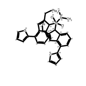 CC(C)CC1=Cc2c(-c3ccco3)cccc2[CH]1[Zr]([Cl])([Cl])([CH]1C(CC(C)C)=Cc2c(-c3ccco3)cccc21)[SiH](C)C